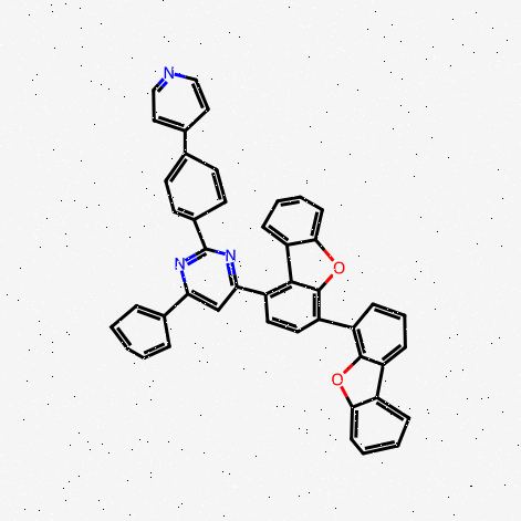 c1ccc(-c2cc(-c3ccc(-c4cccc5c4oc4ccccc45)c4oc5ccccc5c34)nc(-c3ccc(-c4ccncc4)cc3)n2)cc1